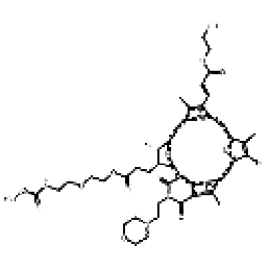 CCC1=C(C)c2cc3[nH]c(cc4nc(c5c6[nH]c(cc1n2)c(C)c6C(=O)N(CCN1CCOCC1)C5=O)[C@@H](CCC(=O)OCCOCCNC(=O)OC(C)(C)C)[C@@H]4C)c(C)c3/C=C/C(=O)OCCO